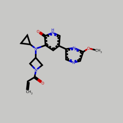 C=CC(=O)N1CC(N(c2cc(-c3cncc(OC)n3)c[nH]c2=O)C2CC2)C1